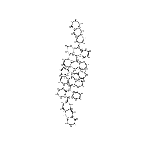 c1ccc([Si](c2ccccc2)(c2c3ccccc3c(-c3c4ccccc4c(-c4ccc5cc6ccccc6cc5c4)c4ccccc34)c3ccccc23)c2c3ccccc3c(-c3c4ccccc4c(-c4ccc5cc6ccccc6cc5c4)c4ccccc34)c3ccccc23)cc1